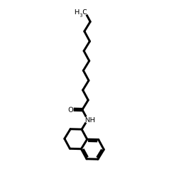 CCCCCCCCCCC(=O)NC1CCCc2ccccc21